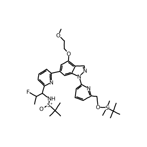 COCCOc1cc(-c2cccc(C(N[S@+]([O-])C(C)(C)C)C(C)F)n2)cc2c1cnn2-c1cccc(CO[Si](C)(C)C(C)(C)C)n1